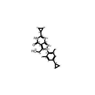 Cc1cc(C2CC2)cc(C)c1-n1nc2nc(C3CC3)[nH]c(=O)c2c1CO